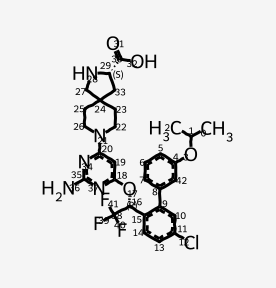 CC(C)Oc1cccc(-c2cc(Cl)ccc2[C@@H](Oc2cc(N3CCC4(CC3)CN[C@H](C(=O)O)C4)nc(N)n2)C(F)(F)F)c1